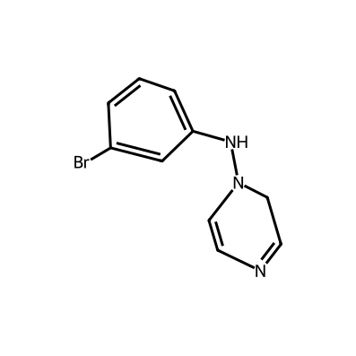 Brc1cccc(NN2C=CN=CC2)c1